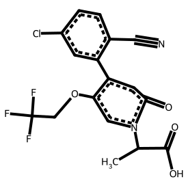 CC(C(=O)O)n1cc(OCC(F)(F)F)c(-c2cc(Cl)ccc2C#N)cc1=O